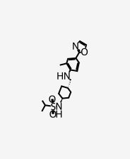 Cc1cc(-c2ncco2)ccc1NC[C@H]1CC[C@H](NS(=O)(=O)C(C)C)CC1